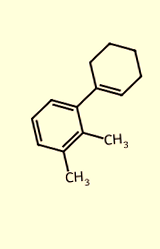 Cc1cccc(C2=CCCCC2)c1C